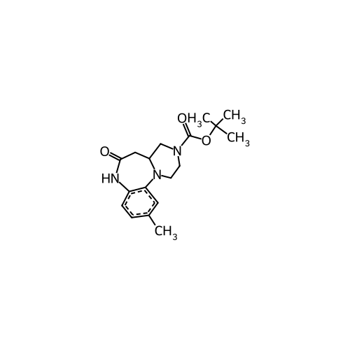 Cc1ccc2c(c1)N1CCN(C(=O)OC(C)(C)C)CC1CC(=O)N2